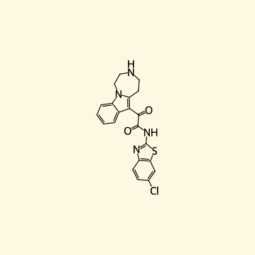 O=C(Nc1nc2ccc(Cl)cc2s1)C(=O)c1c2n(c3ccccc13)CCNCC2